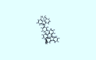 CC1CC=Cc2c1c1ccccc1n2C1=CCC(c2ccc(C#N)cc2-c2ccccc2-n2c3ccccc3c3ccccc32)C=C1